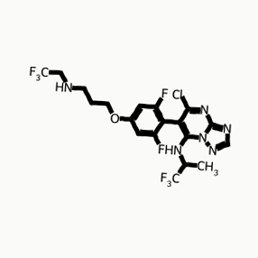 CC(Nc1c(-c2c(F)cc(OCCCNCC(F)(F)F)cc2F)c(Cl)nc2ncnn12)C(F)(F)F